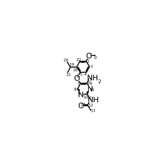 COc1ccc(Oc2cnc(NC(C)=O)nc2N)c(C(C)C)c1